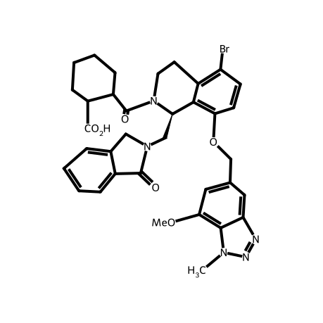 COc1cc(COc2ccc(Br)c3c2[C@@H](CN2Cc4ccccc4C2=O)N(C(=O)C2CCCCC2C(=O)O)CC3)cc2nnn(C)c12